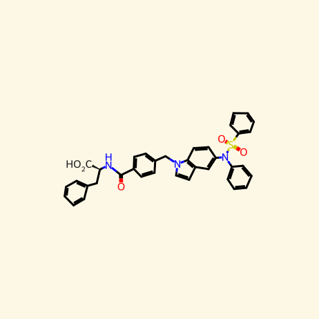 O=C(N[C@@H](Cc1ccccc1)C(=O)O)c1ccc(Cn2ccc3cc(N(c4ccccc4)S(=O)(=O)c4ccccc4)ccc32)cc1